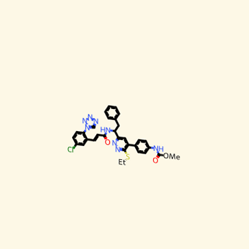 CCSc1nnc(C(Cc2ccccc2)NC(=O)C=Cc2cc(Cl)ccc2-n2cnnn2)cc1-c1ccc(NC(=O)OC)cc1